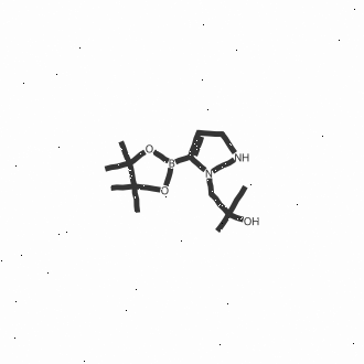 CC(C)(O)CN1NCC=C1B1OC(C)(C)C(C)(C)O1